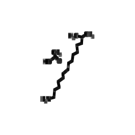 CC(=O)O.CC(C)CCCCCCCCCCCCCN